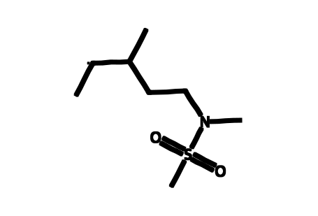 C[CH]C(C)CCN(C)S(C)(=O)=O